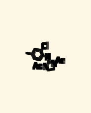 CC(=O)N1CCN(C(C)=O)C1=Nc1ccc(C)cc1Cl